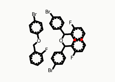 Fc1ccccc1C(OC(c1ccc(Br)cc1)c1ccccc1F)c1ccc(Br)cc1.Fc1ccccc1COc1ccc(Br)cc1